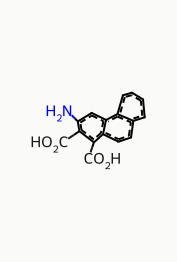 Nc1cc2c(ccc3ccccc32)c(C(=O)O)c1C(=O)O